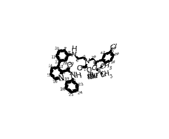 CC(C)(C)OC(=O)N(CCNc1cccc(-c2cccnc2C(=O)Nc2ccccc2)c1)C[C@H](O[Si](C)(C)C(C)(C)C)c1cccc(Cl)c1